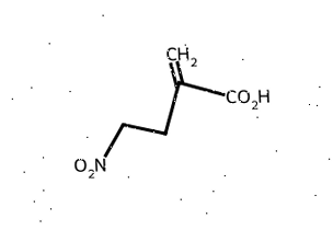 C=C(CC[N+](=O)[O-])C(=O)O